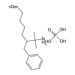 CCCCCCCCCCCCCCC(Cc1ccccc1)C(C)(C)N.O=P(O)(O)O